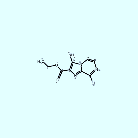 CCOC(=O)c1nc2c(Cl)nccn2c1N